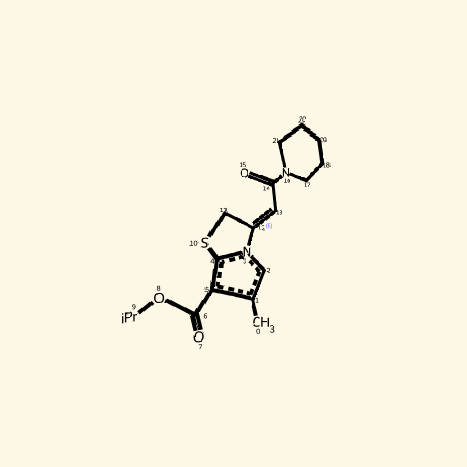 Cc1cn2c(c1C(=O)OC(C)C)SC/C2=C\C(=O)N1CCCCC1